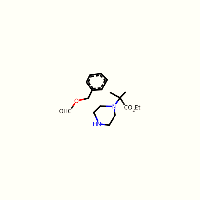 CCOC(=O)C(C)(C)N1CCNCC1.O=COCc1ccccc1